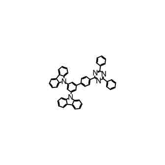 c1ccc(-c2nc(-c3ccccc3)nc(-c3ccc(-c4cc(-n5c6ccccc6c6ccccc65)cc(-n5c6ccccc6c6ccccc65)c4)cc3)n2)cc1